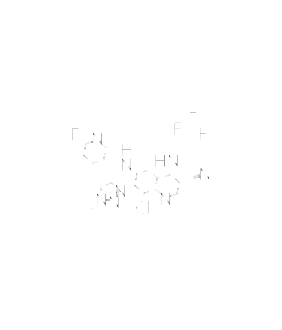 Cc1nc(F)ccc1C(Nc1cc(Cl)c2ncc(C#N)c(NCC(C)(C)C(F)(F)F)c2c1)c1cn(C(C)(C)C)nn1